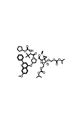 C=C[C@@H]1C[C@]1(NC(=O)[C@@H]1C[C@@H](Oc2cc(-c3ccccc3)nc3cc(OC)ccc23)CN1C(=O)[C@@H](NC(=O)OC1CCCC1)C(C)(C)C)P(=O)(OCOC(=O)OC(C)C)OCOC(=O)OC(C)C